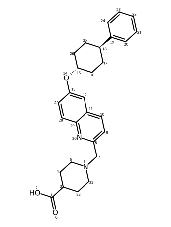 O=C(O)C1CCN(Cc2ccc3cc(O[C@H]4CC[C@H](c5ccccc5)CC4)ccc3n2)CC1